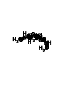 COC1CCC(NC/C=C/C(=O)Nc2c(F)cc(C(=O)c3ccc4c(-c5c(C)cc6c(nc(COC(=O)/C=C/CNC7CCC(OC)CC7)n6C)c5Cl)cccn34)cc2F)CC1